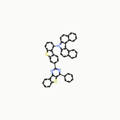 c1ccc(-c2nc(-c3ccc4c(c3)sc3cccc(-n5c6ccc7ccccc7c6c6c7ccccc7ccc65)c34)nc3c2sc2ccccc23)cc1